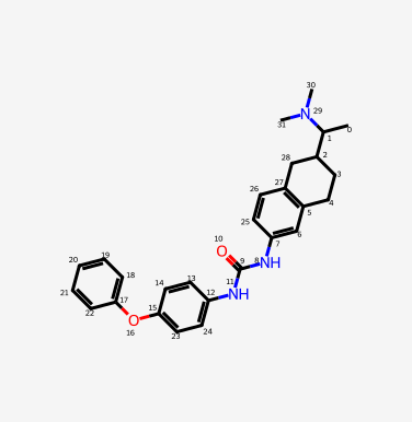 CC(C1CCc2cc(NC(=O)Nc3ccc(Oc4ccccc4)cc3)ccc2C1)N(C)C